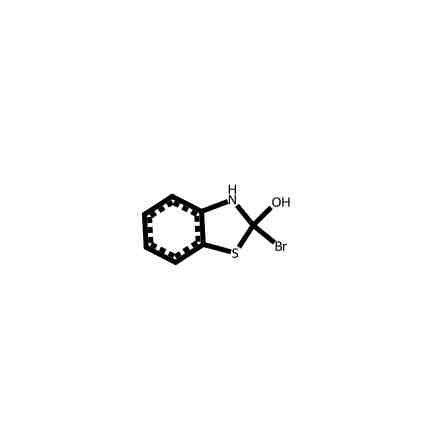 OC1(Br)Nc2ccccc2S1